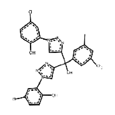 Cc1cc(C(F)(F)F)cc(C(O)(c2cn(-c3cc(Cl)ccc3O)nn2)c2cn(-c3cc(Cl)ccc3O)nn2)c1